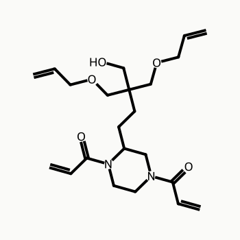 C=CCOCC(CO)(CCC1CN(C(=O)C=C)CCN1C(=O)C=C)COCC=C